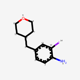 Nc1ccc(CC2CCOCC2)cc1I